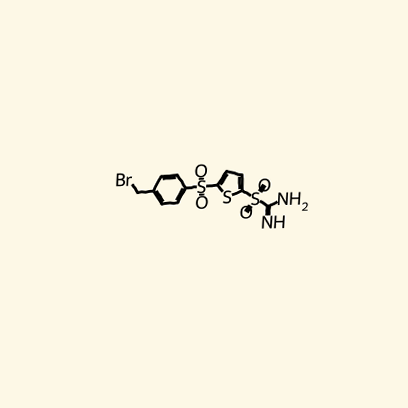 N=C(N)S(=O)(=O)c1ccc(S(=O)(=O)c2ccc(CBr)cc2)s1